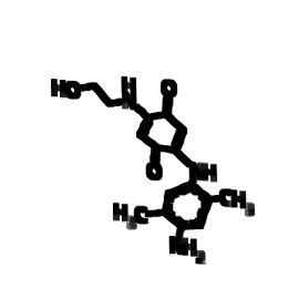 Cc1cc(NC2=CC(=O)C(NCCO)=CC2=O)c(C)cc1N